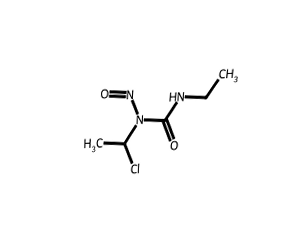 CCNC(=O)N(N=O)C(C)Cl